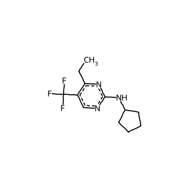 CCc1nc(NC2CCCC2)ncc1C(F)(F)F